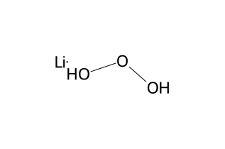 OOO.[Li]